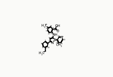 CCc1cccc(-c2cc(Nc3ccc(C)cc3C(=O)O)n(-c3cnccc3C)n2)c1